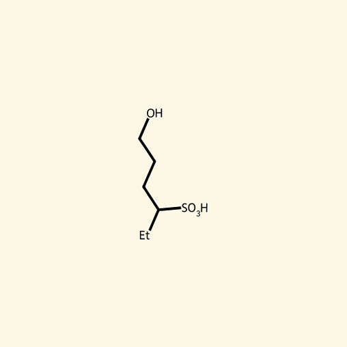 CCC(CCCO)S(=O)(=O)O